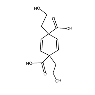 O=C(O)C1(CCO)C=CC(CCO)(C(=O)O)C=C1